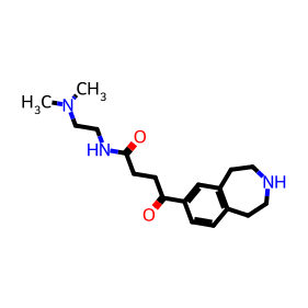 CN(C)CCNC(=O)CCC(=O)c1ccc2c(c1)CCNCC2